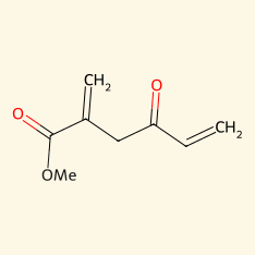 C=CC(=O)CC(=C)C(=O)OC